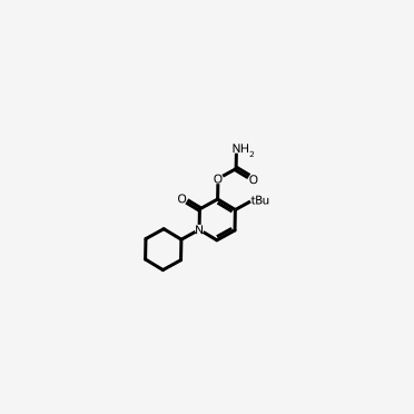 CC(C)(C)c1ccn(C2CCCCC2)c(=O)c1OC(N)=O